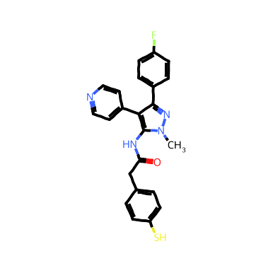 Cn1nc(-c2ccc(F)cc2)c(-c2ccncc2)c1NC(=O)Cc1ccc(S)cc1